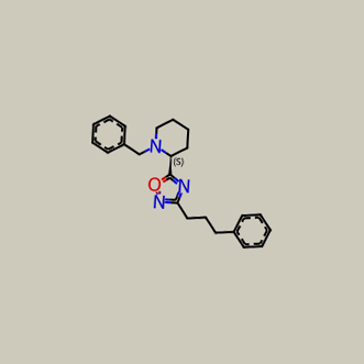 c1ccc(CCCc2noc([C@@H]3CCCCN3Cc3ccccc3)n2)cc1